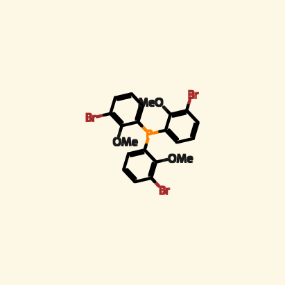 COc1c(Br)cccc1P(c1cccc(Br)c1OC)c1cccc(Br)c1OC